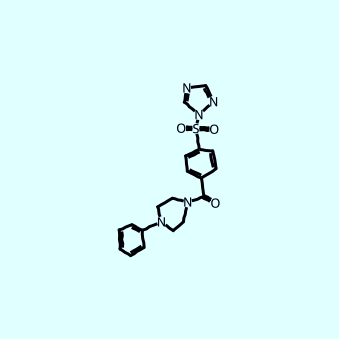 O=C(c1ccc(S(=O)(=O)n2cncn2)cc1)N1CCN(c2ccccc2)CC1